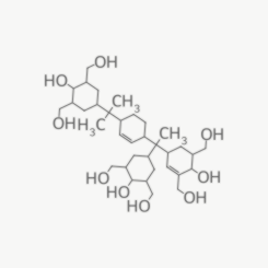 CC(C)(C1C=CC(C(C)(C2C=C(CO)C(O)C(CO)C2)C2CC(CO)C(O)C(CO)C2)CC1)C1CC(CO)C(O)C(CO)C1